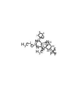 CCOc1nc(-c2ccco2)c(C#N)c(N(C)c2cccc(C(F)(F)F)c2)n1